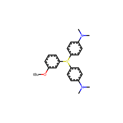 CN(C)c1ccc([S+](c2ccc(N(C)C)cc2)c2cccc(OC(C)(C)C)c2)cc1